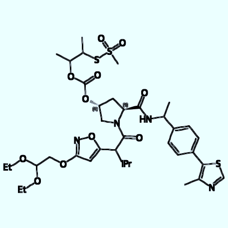 CCOC(COc1cc(C(C(=O)N2C[C@H](OC(=O)OC(C)C(C)SS(C)(=O)=O)C[C@H]2C(=O)NC(C)c2ccc(-c3scnc3C)cc2)C(C)C)on1)OCC